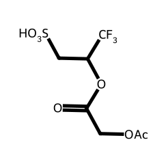 CC(=O)OCC(=O)OC(CS(=O)(=O)O)C(F)(F)F